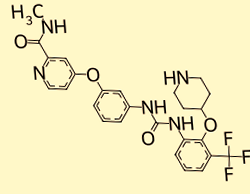 CNC(=O)c1cc(Oc2cccc(NC(=O)Nc3cccc(C(F)(F)F)c3OC3CCNCC3)c2)ccn1